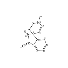 CN1C=CC2(CC1)c1ccccc1C(=O)N2C